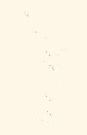 Cc1cc(N2C(=O)C3(CCC3)N(c3ccc(N4CCN(S(C)(=O)=O)CC4)cc3)C2=S)ccc1C#N